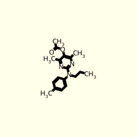 CCCN(c1ccc(C)cc1)c1nc(C)c(OC(C)=O)c(C)n1